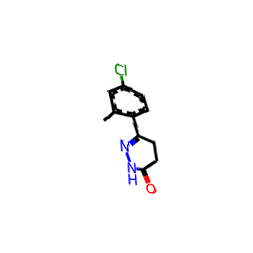 Cc1cc(Cl)ccc1C1=NNC(=O)CC1